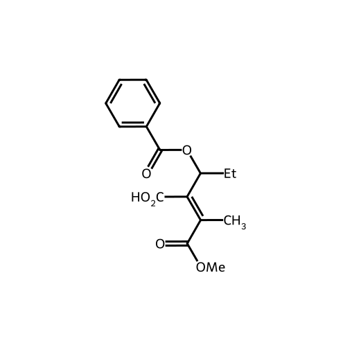 CCC(OC(=O)c1ccccc1)C(C(=O)O)=C(C)C(=O)OC